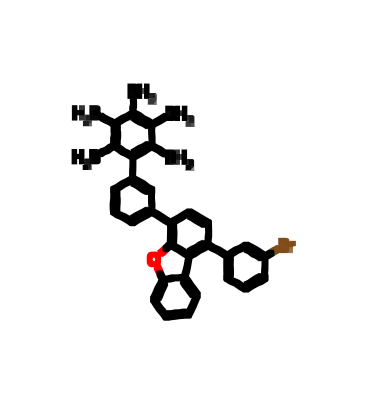 Bc1c(B)c(B)c(-c2cccc(-c3ccc(-c4cccc(Br)c4)c4c3oc3ccccc34)c2)c(B)c1B